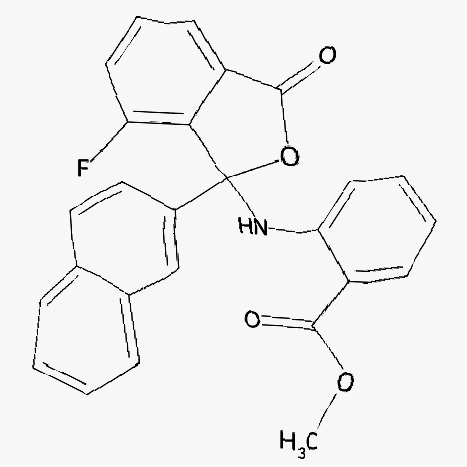 COC(=O)c1ccccc1NC1(c2ccc3ccccc3c2)OC(=O)c2cccc(F)c21